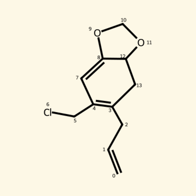 C=CCC1=C(CCl)C=C2OCOC2C1